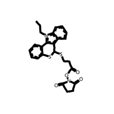 CCCn1c2c(c3ccccc31)C(SCCC(=O)ON1C(=O)CCC1=O)Sc1ccccc1-2